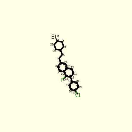 CCC1CCC(CCc2ccc3c(F)c(-c4ccc(Cl)cc4)ccc3c2)CC1